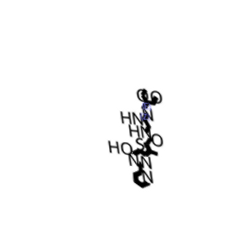 CN/C(CNC(=O)c1sc2c(O)nc(-c3ccccn3)nc2c1C)=N\C=C(/C=O)OC